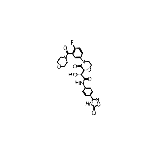 O=C(Nc1ccc(-c2noc(=O)[nH]2)cc1)[C@H](O)[C@H]1OCCN(c2ccc(F)c(C(=O)N3CCOCC3)c2)C1=O